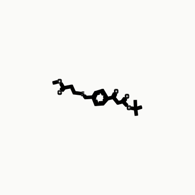 COC(=O)CCSCc1ccc(C(=O)CC(=O)OC(C)(C)C)cc1